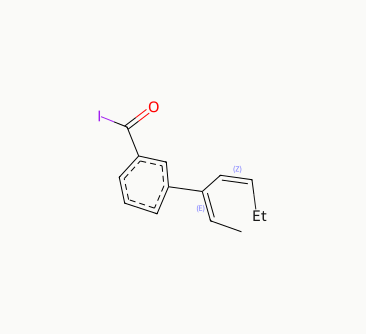 C/C=C(\C=C/CC)c1cccc(C(=O)I)c1